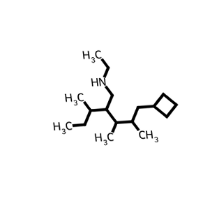 CCNCC(C(C)CC)C(C)C(C)CC1CCC1